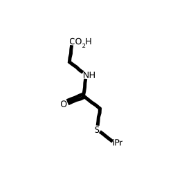 CC(C)SCC(=O)NCC(=O)O